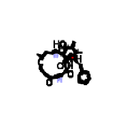 C=C1[C@@H](C)[C@H]2[C@H](Cc3ccccc3)NC(=O)[C@]23OC(=O)/C=C\C(=O)CCC[C@@H](C)C/C=C/[C@H]3[C@@H]1O